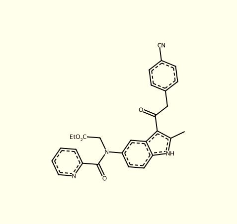 CCOC(=O)CN(C(=O)c1ccccn1)c1ccc2[nH]c(C)c(C(=O)Cc3ccc(C#N)cc3)c2c1